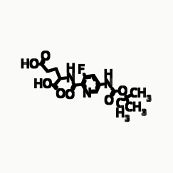 CC(C)(C)OC(=O)Nc1cnc(C(=O)NC(CCC(=O)O)C(=O)O)c(F)c1